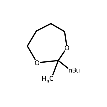 CCCCC1(C)OCCCCO1